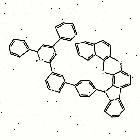 C1=C(c2ccccc2)N=C(c2cccc(-c3ccc(-n4c5ccccc5c5ccc6c(c54)Oc4c(ccc5ccccc45)O6)cc3)c2)NC1c1ccccc1